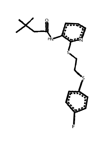 CC(C)(C)CC(=O)Nc1cccnc1SCCSc1ccc(F)cc1